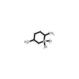 CC[N+]1(CC)CC(C)CCC1C